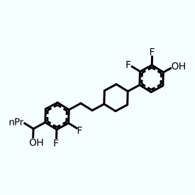 CCCC(O)c1ccc(CCC2CCC(c3ccc(O)c(F)c3F)CC2)c(F)c1F